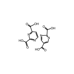 O=C(O)c1ccnc(C(=O)O)n1.O=C(O)c1cnc(C(=O)O)nc1